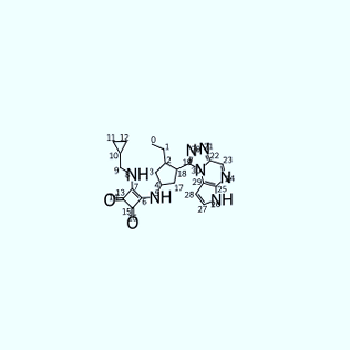 CCC1CC(Nc2c(NCC3CC3)c(=O)c2=O)CC1c1nnc2cnc3[nH]ccc3n12